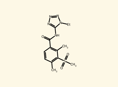 CCn1nnnc1NC(=O)c1ccc(C)c(S(C)(=O)=O)c1C